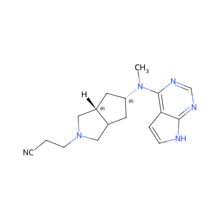 CN(c1ncnc2[nH]ccc12)[C@@H]1CC2CN(CCC#N)C[C@@H]2C1